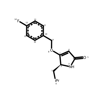 CC(C)C[C@@H]1NC(=O)C=C1OCc1ccc(F)cc1